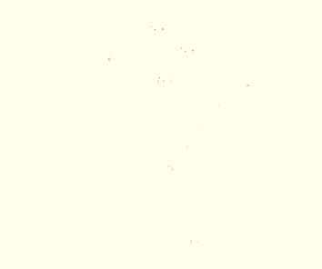 CCCCCCC(F)(F)C(F)(F)C(F)(F)[NH+](CCC(CC)CCCC)c1c(F)c(C)c(F)c(F)c1F.CCCCCCCCC[B-](CCCCCCCCC)(CCCCCCCCC)CCCCCCCCC